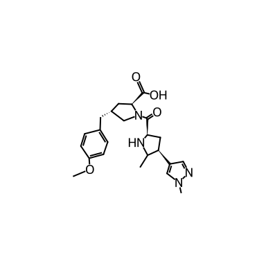 COc1ccc(C[C@@H]2C[C@@H](C(=O)O)N(C(=O)[C@H]3C[C@@H](c4cnn(C)c4)C(C)N3)C2)cc1